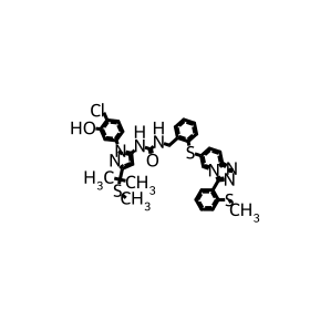 CSc1ccccc1-c1nnc2ccc(Sc3ccccc3CNC(=O)Nc3cc(C(C)(C)SC)nn3-c3ccc(Cl)c(O)c3)cn12